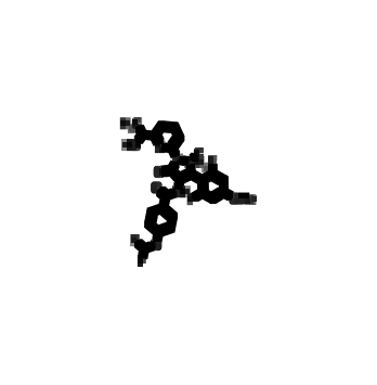 COc1cc(F)c(-c2c(NC(=O)c3ccc(OC(F)F)cc3)c(=O)n(-c3cccc(C(C)O)n3)n2C)c(F)c1